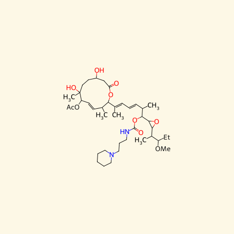 CCC(OC)C(C)C1OC1C(OC(=O)NCCCN1CCCCC1)C(C)/C=C/C=C(\C)C1OC(=O)CC(O)CCC(C)(O)C(OC(C)=O)/C=C/C1C